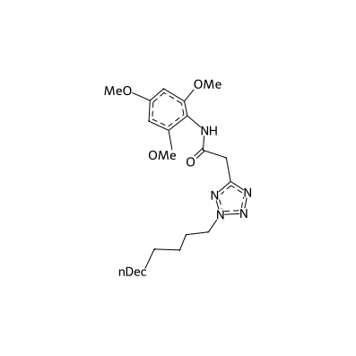 CCCCCCCCCCCCCCn1nnc(CC(=O)Nc2c(OC)cc(OC)cc2OC)n1